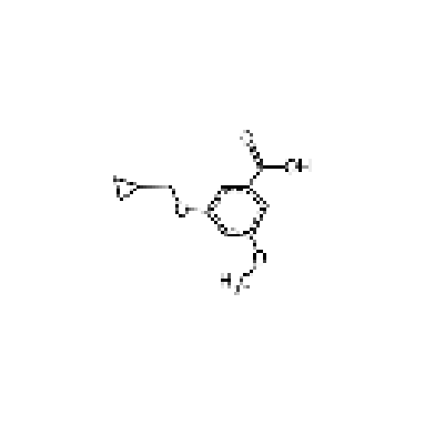 COc1cc(OCC2CC2)cc(C(=O)O)c1